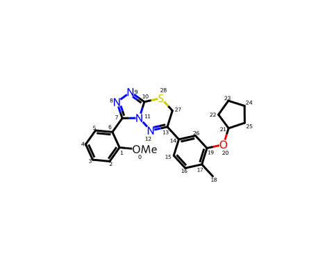 COc1ccccc1-c1nnc2n1N=C(c1ccc(C)c(OC3CCCC3)c1)CS2